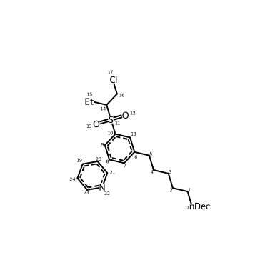 CCCCCCCCCCCCCCCc1cccc(S(=O)(=O)C(CC)CCl)c1.c1ccncc1